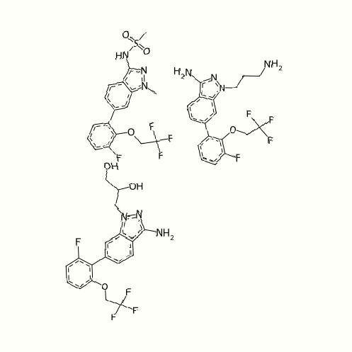 Cn1nc(NS(C)(=O)=O)c2ccc(-c3cccc(F)c3OCC(F)(F)F)cc21.NCCCn1nc(N)c2ccc(-c3cccc(F)c3OCC(F)(F)F)cc21.Nc1nn(CC(O)CO)c2cc(-c3c(F)cccc3OCC(F)(F)F)ccc12